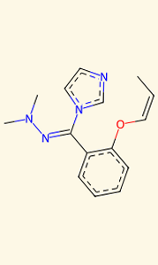 C/C=C\Oc1ccccc1C(=NN(C)C)n1ccnc1